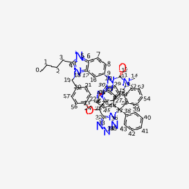 CCCCc1nc2ccc(NC(=O)N(C)C)cc2n1Cc1ccc(OC(c2ccccn2)c2nnnn2C(c2ccccc2)(c2ccccc2)c2ccccc2)cc1